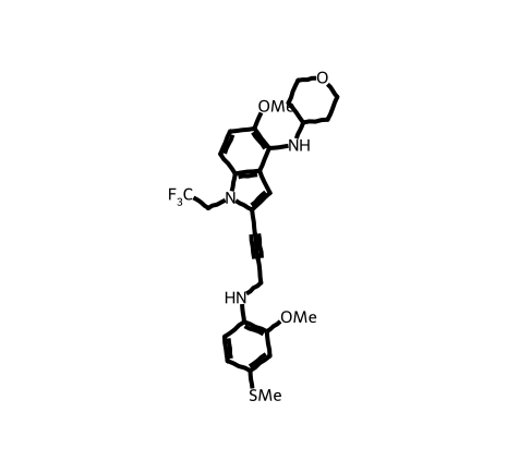 COc1cc(SC)ccc1NCC#Cc1cc2c(NC3CCOCC3)c(OC)ccc2n1CC(F)(F)F